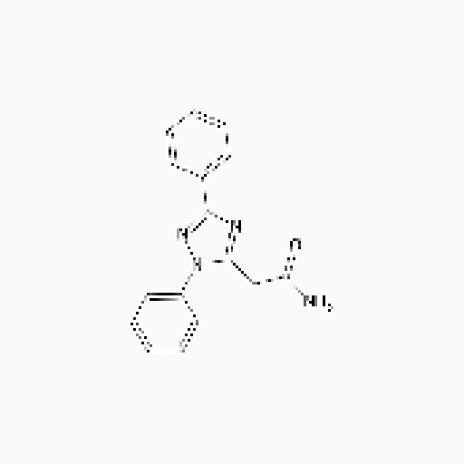 NC(=O)Cc1nc(-c2ccccc2)nn1-c1ccccc1